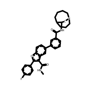 CNC(=O)c1c(-c2ccc(F)cc2)oc2ccc(-c3cccc(C(=O)NC4CN5CCCCC4CCC5)c3)cc12